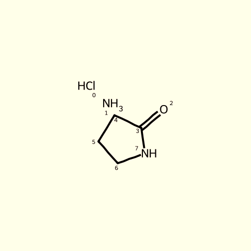 Cl.N.O=C1CCCN1